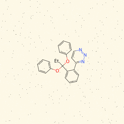 CCC(Oc1ccccc1)(Oc1ccccc1)c1ccccc1-c1ccnnn1